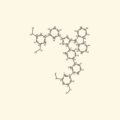 CCc1cc(CC)nc(-c2cccc(-c3ccc(-c4sc(-c5cccc(-c6cc(CC)cc(CC)n6)n5)cc4B4c5ccccc5-c5ccccc54)nc3)n2)c1